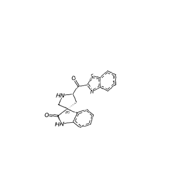 O=C(c1nc2ccccc2s1)C1C[C@@]2(CN1)C(=O)Nc1ccccc12